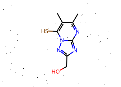 Cc1nc2nc(CO)nn2c(S)c1C